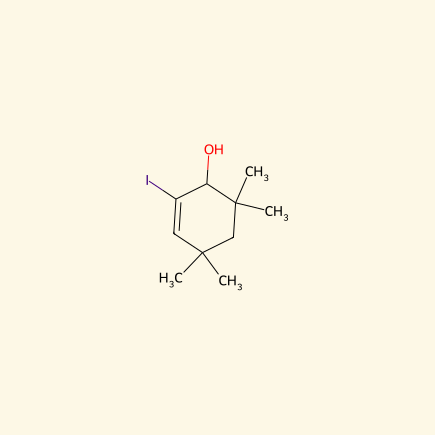 CC1(C)C=C(I)C(O)C(C)(C)C1